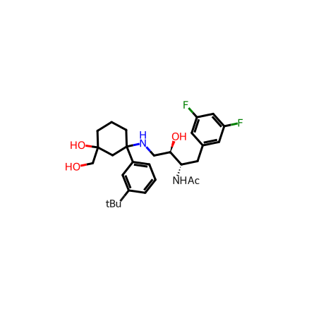 CC(=O)N[C@@H](Cc1cc(F)cc(F)c1)[C@H](O)CNC1(c2cccc(C(C)(C)C)c2)CCCC(O)(CO)C1